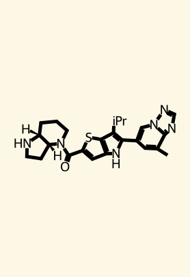 Cc1cc(-c2[nH]c3cc(C(=O)N4CCC[C@H]5NCC[C@H]54)sc3c2C(C)C)cn2ncnc12